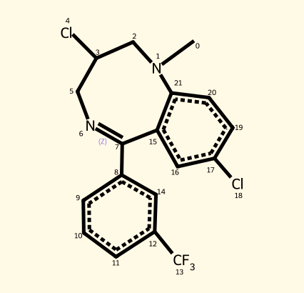 CN1CC(Cl)C/N=C(/c2cccc(C(F)(F)F)c2)c2cc(Cl)ccc21